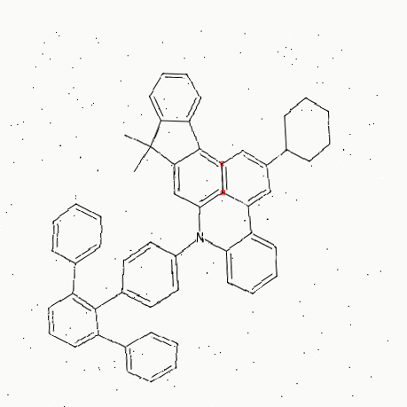 CC1(C)c2ccccc2-c2ccc(N(c3ccc(-c4c(-c5ccccc5)cccc4-c4ccccc4)cc3)c3ccccc3-c3cccc(C4CCCCC4)c3)cc21